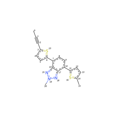 CC#Cc1ccc(-c2ccc(-c3ccc(C)s3)c3nn(C)nc23)s1